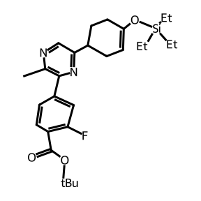 CC[Si](CC)(CC)OC1=CCC(c2cnc(C)c(-c3ccc(C(=O)OC(C)(C)C)c(F)c3)n2)CC1